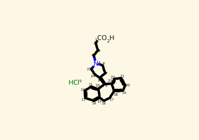 Cl.O=C(O)CCCN1CCC(=C2c3ccccc3CCc3ccccc32)CC1